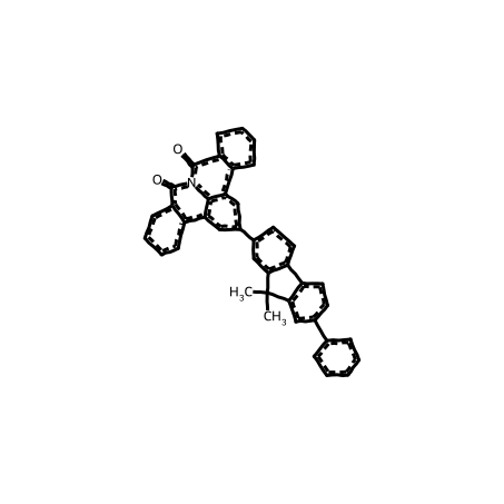 CC1(C)c2cc(-c3ccccc3)ccc2-c2ccc(-c3cc4c5ccccc5c(=O)n5c(=O)c6ccccc6c(c3)c45)cc21